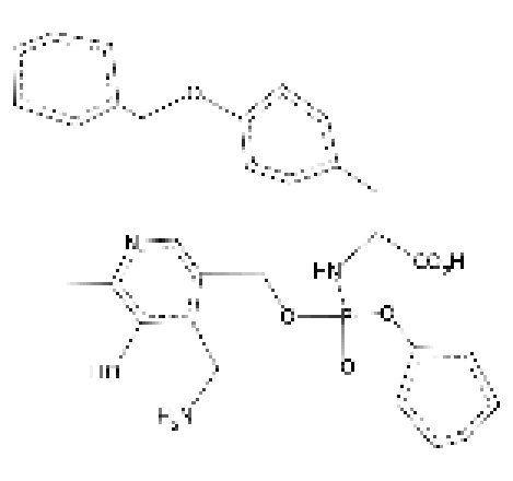 Cc1ncc(COP(=O)(NC(Cc2ccc(OCc3ccccc3)cc2)C(=O)O)Oc2ccccc2)c(CN)c1O